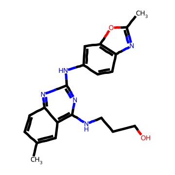 Cc1ccc2nc(Nc3ccc4nc(C)oc4c3)nc(NCCCO)c2c1